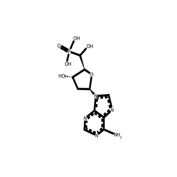 Nc1ncnc2c1ncn2[C@H]1C[C@H](O)[C@@H](C(O)P(=O)(O)O)O1